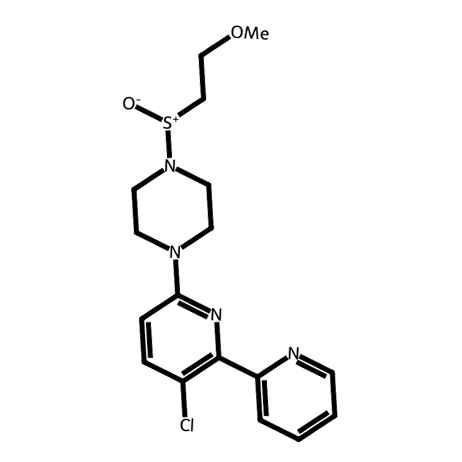 COCC[S+]([O-])N1CCN(c2ccc(Cl)c(-c3ccccn3)n2)CC1